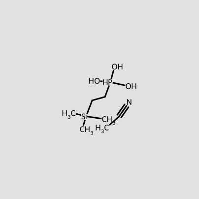 CC#N.C[Si](C)(C)CC[PH](O)(O)O